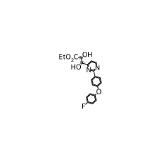 CCOC(=O)[C@@H](O)[C@H](O)c1ccnc(-c2ccc(Oc3ccc(F)cc3)cc2)n1